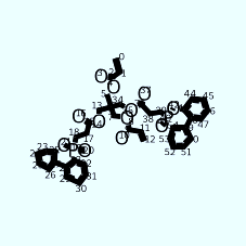 C=CC(=O)OCC(COC(=O)C=C)(COC(=O)CCP1(=O)Oc2ccccc2-c2ccccc21)COC(=O)CCP1(=O)Oc2ccccc2-c2ccccc21